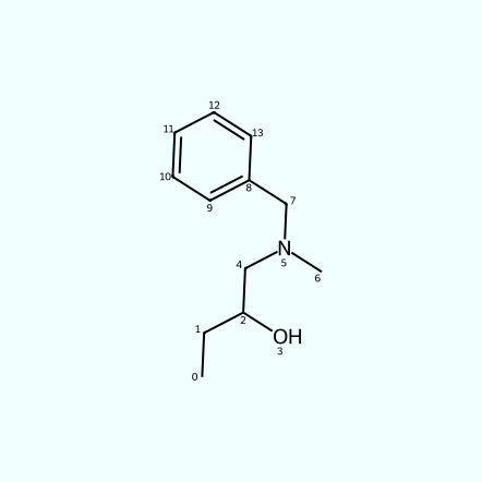 CCC(O)CN(C)Cc1ccccc1